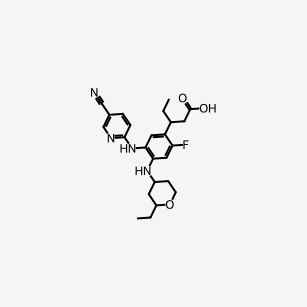 CCC1CC(Nc2cc(F)c(C(CC)CC(=O)O)cc2Nc2ccc(C#N)cn2)CCO1